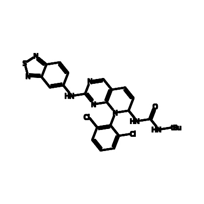 CC(C)(C)NC(=O)NC1C=Cc2cnc(Nc3ccc4nsnc4c3)nc2N1c1c(Cl)cccc1Cl